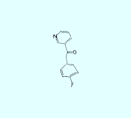 O=C(Cc1ccc(F)cc1)c1cccnc1